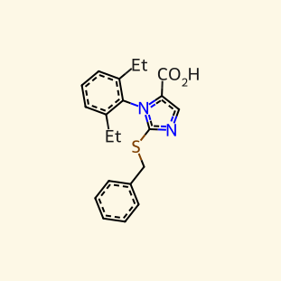 CCc1cccc(CC)c1-n1c(C(=O)O)cnc1SCc1ccccc1